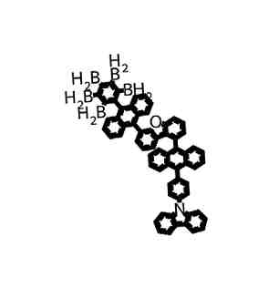 Bc1c(B)c(B)c(-c2c3ccccc3c(-c3cccc4c3oc3cccc(-c5c6ccccc6c(-c6ccc(-n7c8ccccc8c8ccccc87)cc6)c6ccccc56)c34)c3ccccc23)c(B)c1B